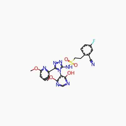 COc1cc#cc(-c2nnc(NS(=O)(=O)CCc3ccc(F)cc3C#N)n2-c2c(O)ncnc2OC)n1